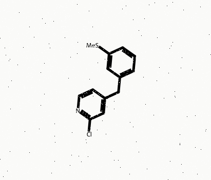 CSc1cccc(Cc2ccnc(Cl)c2)c1